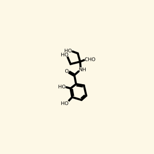 O=CC(CO)(CO)NC(=O)c1cccc(O)c1O